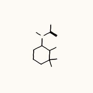 BC1(C)CCCC(N(C)C(C)=S)C1C